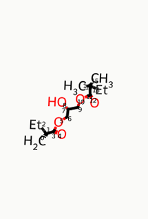 C=C(CC)C(=O)OCC(O)COC(=O)C(C)(C)CC